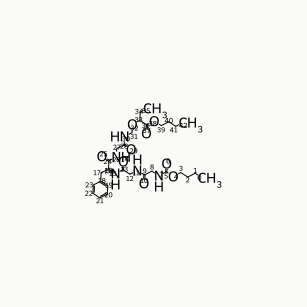 CCCCOC(=O)NCC(=O)NCC(=O)N[C@@H](Cc1ccccc1)C(=O)NCC(=O)NCOC(CC)C(=O)OCCCC